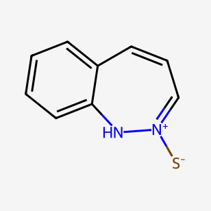 [S-][N+]1=CC=Cc2ccccc2N1